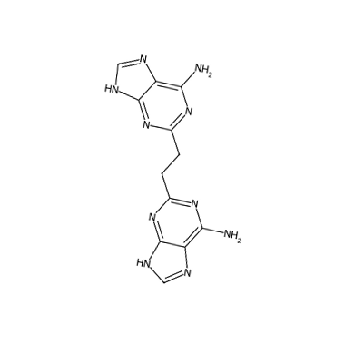 Nc1nc(CCc2nc(N)c3nc[nH]c3n2)nc2[nH]cnc12